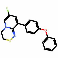 FC1=CN2CCSN=C2C(c2ccc(Oc3ccccc3)cc2)=C1